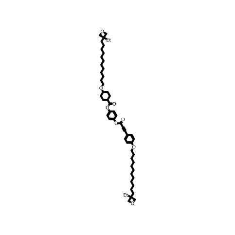 CCC1(CCCCCCCCCCCCOc2ccc(C#CC(=O)Oc3ccc(OC(=O)C4CCC(OCCCCCCCCCCCCC5(CC)COC5)CC4)cc3)cc2)COC1